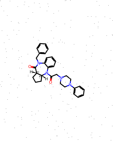 O=C1[C@H]2CCC[C@H]2N(C(=O)CN2CCN(c3ccccc3)CC2)c2ccccc2N1Cc1ccccc1